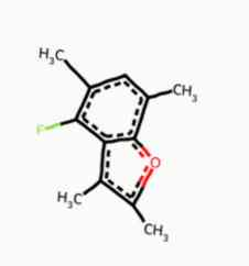 Cc1cc(C)c2oc(C)c(C)c2c1F